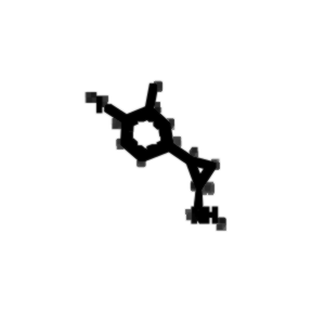 Cc1cc(C2C[C@H]2N)ccc1F